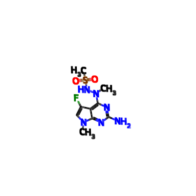 CN(NS(C)(=O)=O)c1nc(N)nc2c1c(F)cn2C